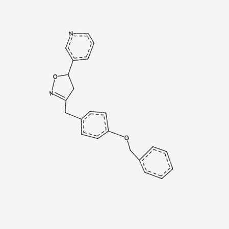 c1ccc(COc2ccc(CC3=NOC(c4cccnc4)C3)cc2)cc1